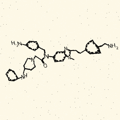 Cn1c(CCc2ccc(CN)cc2)nc2cc(N(Cc3ccc(N)cc3)C(=O)CN3CCC(Nc4ccccc4)CC3)ccc21